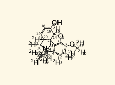 [2H]c1c([2H])c2c3c(c1OC([2H])([2H])[2H])OC1([2H])C(O)C=C[C@]4([2H])[C@@]31CCN(C([2H])([2H])[2H])[C@]4([2H])C2([2H])[2H]